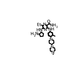 CCc1nc(C(N)=O)c(Nc2ccc(N3CCC(N4CCN(C)CC4)CC3)c(C)c2)nc1N[C@H]1CCC[C@@H]1N